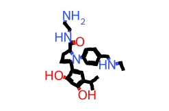 CCNCc1ccc(N2C(c3cc(C(C)C)c(O)cc3O)=CCC2C(=O)NCCN)cc1